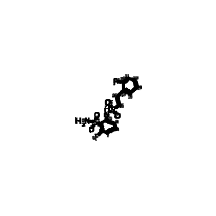 NS(=O)(=O)c1c(F)cccc1NS(=O)(=O)C=Cc1ccccc1F